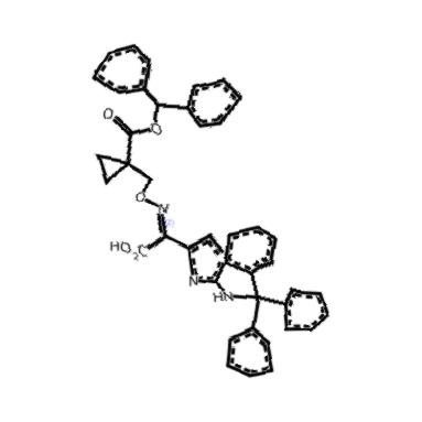 O=C(O)/C(=N\OCC1(C(=O)OC(c2ccccc2)c2ccccc2)CC1)c1csc(NC(c2ccccc2)(c2ccccc2)c2ccccc2)n1